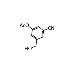 CC(=O)Oc1cc(C#N)cc(CO)c1